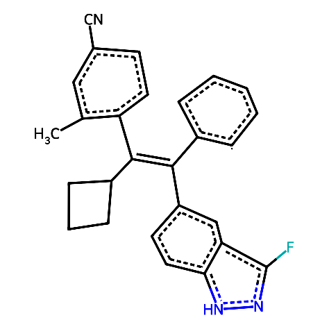 Cc1cc(C#N)ccc1/C(=C(\c1[c]cccc1)c1ccc2[nH]nc(F)c2c1)C1CCC1